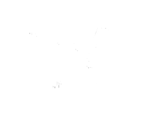 CC(C)(CN1CCN(C2=Nc3cc(F)ccc3Oc3ccccc32)CC1)C(=O)O.Cl.Cl